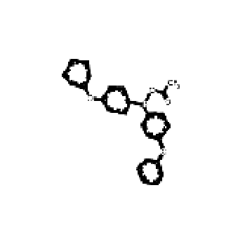 O=C(O[I+](c1ccc(Oc2ccccc2)cc1)c1ccc(Oc2ccccc2)cc1)C(F)(F)F